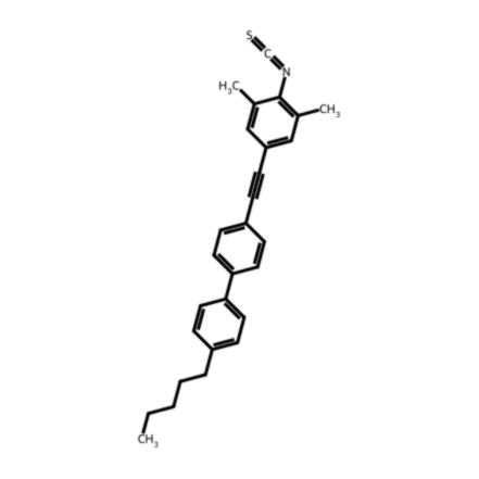 CCCCCc1ccc(-c2ccc(C#Cc3cc(C)c(N=C=S)c(C)c3)cc2)cc1